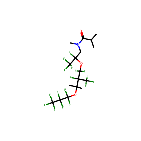 CC(C)C(=O)N(C)CC(F)(OC(F)(F)C(F)(C(F)(F)F)C(C)(C)OC(F)(F)C(F)(F)C(F)(F)F)C(F)(F)F